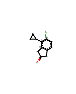 O=C1Cc2ccc(Cl)c(C3CC3)c2C1